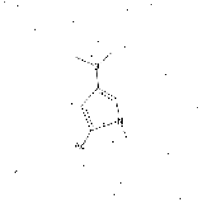 CB(C)c1cc(C(C)=O)n(C)c1